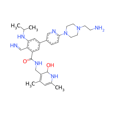 CC1=CC(C)=C(CNC(=O)c2cc(-c3ccc(N4CCN(CCN)CC4)nc3)cc(NC(C)C)c2C=N)C(O)N1